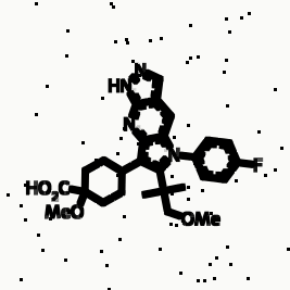 COCC(C)(C)c1c(C2CCC(OC)(C(=O)O)CC2)c2nc3[nH]ncc3cc2n1-c1ccc(F)cc1